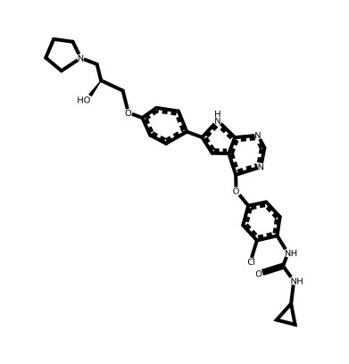 O=C(Nc1ccc(Oc2ncnc3[nH]c(-c4ccc(OC[C@@H](O)CN5CCCC5)cc4)cc23)cc1Cl)NC1CC1